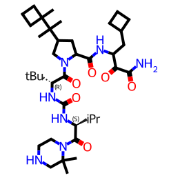 CC(C)[C@H](NC(=O)N[C@@H](C(=O)N1CC(C(C)(C)C2(C)CCC2)CC1C(=O)NC(CC1CCC1)C(=O)C(N)=O)C(C)(C)C)C(=O)N1CCNCC1(C)C